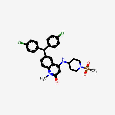 Cn1c(=O)cc(NC2CCN(S(=O)(=O)C(F)(F)F)CC2)c2cc(C(c3ccc(Cl)cc3)c3ccc(Cl)cc3)ccc21